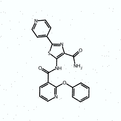 NC(=O)c1nc(-c2ccncc2)sc1NC(=O)c1cccnc1Oc1ccccc1